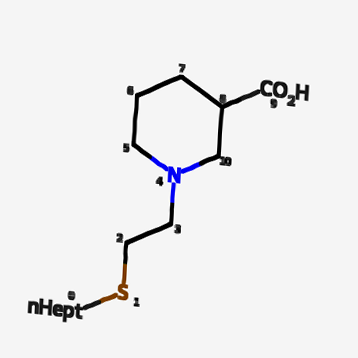 CCCCCCCSCCN1CCCC(C(=O)O)C1